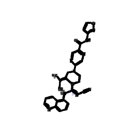 CC(C)C1CN(c2cnc(C(=O)Nc3ccon3)cn2)CCN1/C(=N\C#N)Nc1cccc2ncccc12